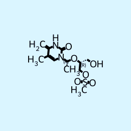 C=C1NC(=O)N([C@@H](C)O[C@H](CO)COS(C)(=O)=O)C=C1C